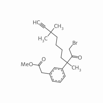 C#CC(C)(C)CCCCC(C)(C(=O)CBr)c1cccc(CC(=O)OC)c1